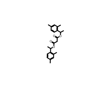 Cc1ccc(C(C)OC(=O)CC(=O)OC(C)c2ccc(C)cc2C)c(C)c1